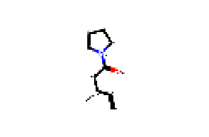 C=C[C@H](C)CC(=O)N1CCCC1